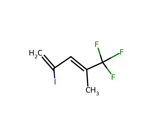 C=C(I)/C=C(\C)C(F)(F)F